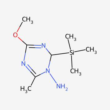 COC1=NC([Si](C)(C)C)N(N)C(C)=N1